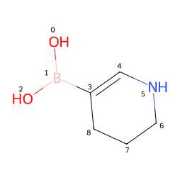 OB(O)C1=CNCCC1